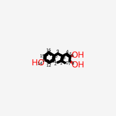 CC(C)=C(/C=C(/O)CO)Cc1ccc(O)cc1